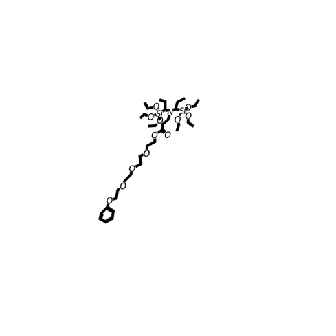 CCO[Si](OCC)(OCC)C(CC)N(CCC(=O)OCCOCCOCCOCCOc1ccccc1)C(CC)[Si](OCC)(OCC)OCC